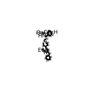 CC[C@H](C)[C@H](N[C@@H](CCN1CCC(c2cc(Cc3ccccc3)nn2CC)CC1)c1ccccc1)C(=O)O